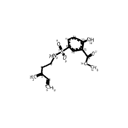 C=CC(=C)CCNS(=O)(=O)c1ccc(O)c(C(=O)OC)c1